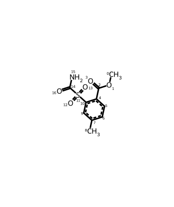 COC(=O)c1ccc(C)cc1S(=O)(=O)C(N)=O